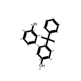 CC(C)(c1ccccc1)c1ccc(O)cc1.CC(C)c1ccccc1